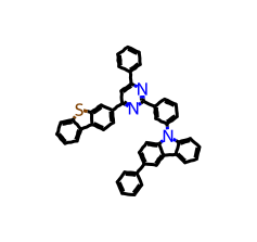 c1ccc(-c2ccc3c(c2)c2ccccc2n3-c2cccc(-c3nc(-c4ccccc4)cc(-c4ccc5c(c4)sc4ccccc45)n3)c2)cc1